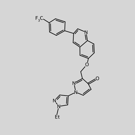 CCn1cc(-n2ccc(=O)c(COc3ccc4ncc(-c5ccc(C(F)(F)F)cc5)cc4c3)n2)cn1